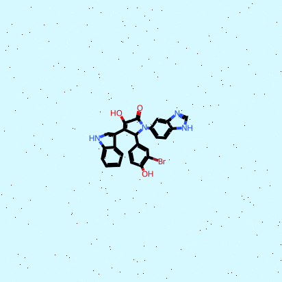 O=C1C(O)=C(c2c[nH]c3ccccc23)C(c2ccc(O)c(Br)c2)N1c1ccc2[nH]cnc2c1